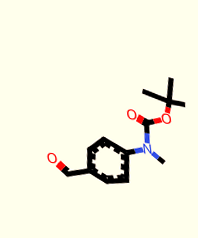 CN(C(=O)OC(C)(C)C)c1ccc(C=O)cc1